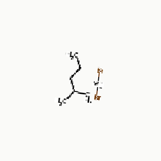 [Br][Mg][Br].[CH2]CCC(C)C